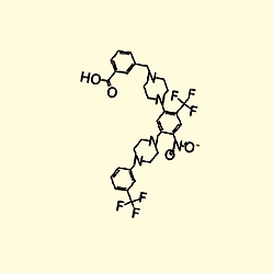 O=C(O)c1cccc(CN2CCN(c3cc(N4CCN(c5cccc(C(F)(F)F)c5)CC4)c([N+](=O)[O-])cc3C(F)(F)F)CC2)c1